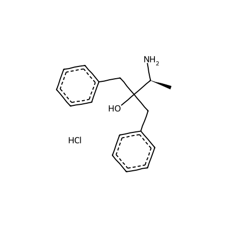 C[C@H](N)C(O)(Cc1ccccc1)Cc1ccccc1.Cl